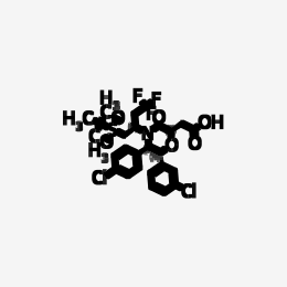 CC(C)(C)S(=O)(=O)C[C@@H](CC(F)(F)F)N1C(=O)[C@@H](CC(=O)O)O[C@H](c2cccc(Cl)c2)[C@H]1c1ccc(Cl)cc1